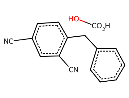 N#Cc1ccc(Cc2ccccc2)c(C#N)c1.O=C(O)O